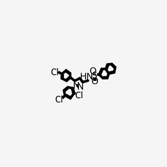 O=S(=O)(NCC1=NN(c2ccc(Cl)cc2Cl)C(c2ccc(Cl)cc2)C1)c1ccc2ccccc2c1